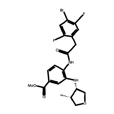 COC(=O)c1ccc(NC(=O)Cc2cc(F)c(Br)cc2F)c(N[C@@H]2COC[C@@H]2C)c1